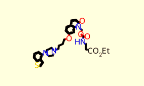 CCOC(=O)CCNC(=O)OCn1c(=O)ccc2ccc(OCCCCN3CCN(c4cccc5sccc45)CC3)cc21